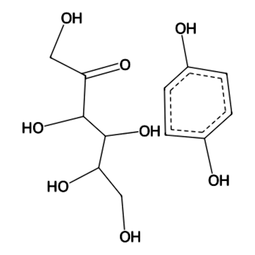 O=C(CO)C(O)C(O)C(O)CO.Oc1ccc(O)cc1